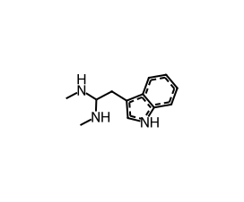 CNC(Cc1c[nH]c2ccccc12)NC